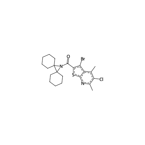 Cc1nc2sc(C(=O)N3C4(CCCCC4)C34CCCCC4)c(Br)c2c(C)c1Cl